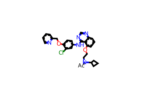 CC(=O)N(CCOc1cccc2ncnc(Nc3ccc(OCc4ccccn4)c(Cl)c3)c12)C1CCC1